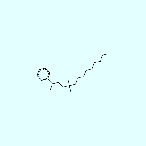 CCCCCCCCCC(C)(C)CCC(C)c1ccccc1